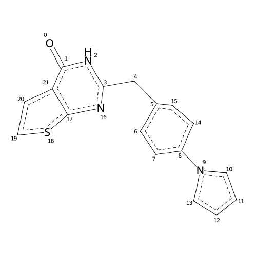 O=c1[nH]c(Cc2ccc(-n3cccc3)cc2)nc2sccc12